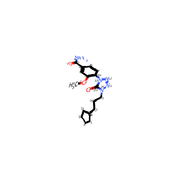 COc1cc(C(N)=O)ccc1-n1nnn(CCCC2CCCC2)c1=O